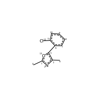 Cc1nc(C)c(-c2ccccc2Cl)o1